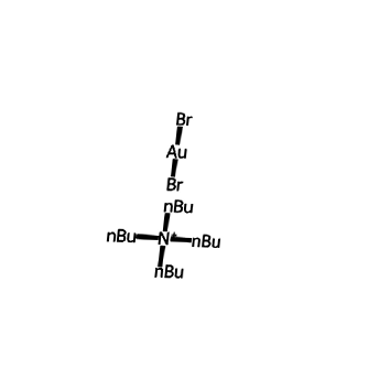 CCCC[N+](CCCC)(CCCC)CCCC.[Br][Au][Br]